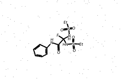 CCS(=O)(=O)NC(F)(NS(=O)(=O)CC)C(=O)Nc1ccccc1